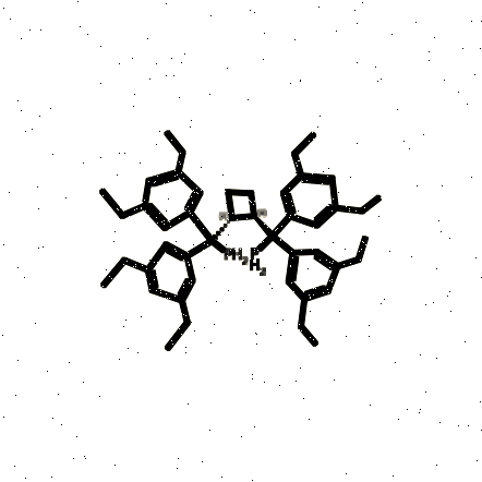 CCc1cc(CC)cc(C(P)(c2cc(CC)cc(CC)c2)[C@@H]2CC[C@H]2C(P)(c2cc(CC)cc(CC)c2)c2cc(CC)cc(CC)c2)c1